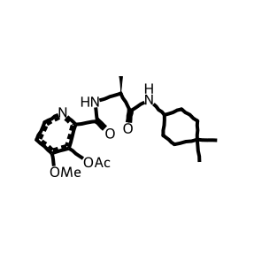 COc1ccnc(C(=O)N[C@@H](C)C(=O)NC2CCC(C)(C)CC2)c1OC(C)=O